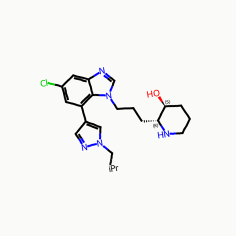 CC(C)Cn1cc(-c2cc(Cl)cc3ncn(CCC[C@H]4NCCC[C@@H]4O)c23)cn1